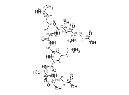 C[C@H](NC(=O)[C@H](CCCCN)NC(=O)CNC(=O)[C@H](CCCNC(=N)N)NC(=O)[C@H](C)NC(=O)[C@@H](N)CCC(=O)O)C(=O)N[C@@H](CCC(=O)O)C(=O)O